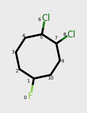 FC1CCCC(Cl)C(Cl)CC1